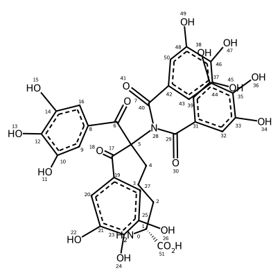 N[C@H](CCCC(C(=O)c1cc(O)c(O)c(O)c1)(C(=O)c1cc(O)c(O)c(O)c1)N(C(=O)c1cc(O)c(O)c(O)c1)C(=O)c1cc(O)c(O)c(O)c1)C(=O)O